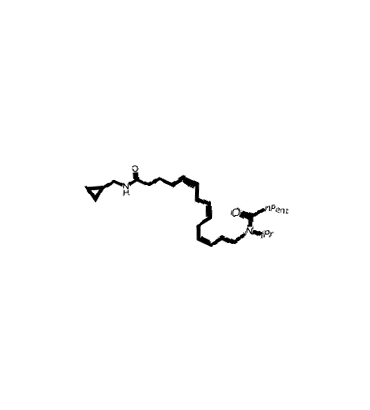 CCCCCC(=O)N(CC/C=C\C/C=C\C/C=C\CCCC(=O)NCC1CC1)C(C)C